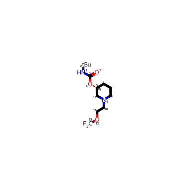 CC(C)(C)NC(=O)O[C@@H]1CCCN(CCOC(F)(F)F)C1